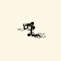 O=C(O)CC[C@H](NC(=S)N[C@@H](CCC(=O)N[C@@H](Cc1ccccc1)C(=O)NCCNC(=O)CNC(=O)[C@H](Cc1ccccc1)NC(=O)[C@H](Cc1ccccc1)NC(=O)CN1CCN(CC(=O)O)CCN(CC(=O)O)CCN(CC(=O)O)CC1)C(=O)O)C(=O)O